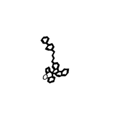 c1ccc(-c2ccc(CCCCc3ccc4c(c3)C3(c5ccccc5Oc5ccccc53)c3ccc5ccccc5c3-4)cc2)cc1